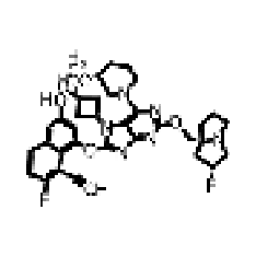 C#Cc1c(F)ccc2cc(O)cc(Oc3nc4nc(OC[C@@]56CCCN5C[C@H](F)C6)nc(N5CCC[C@@H](C)C5)c4n3C3CC(OC)C3)c12